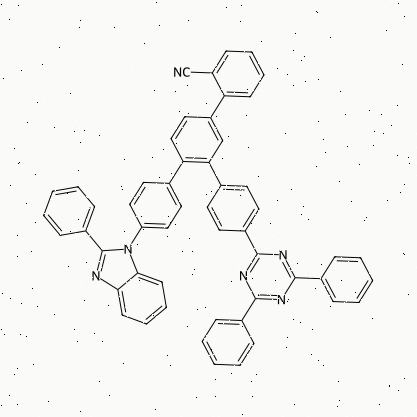 N#Cc1ccccc1-c1ccc(-c2ccc(-n3c(-c4ccccc4)nc4ccccc43)cc2)c(-c2ccc(-c3nc(-c4ccccc4)nc(-c4ccccc4)n3)cc2)c1